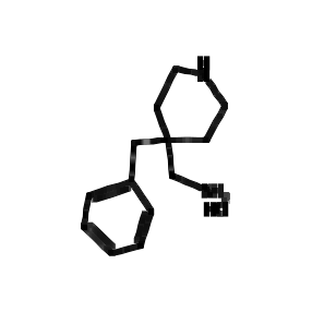 Cl.NCC1(Cc2ccccc2)CCNCC1